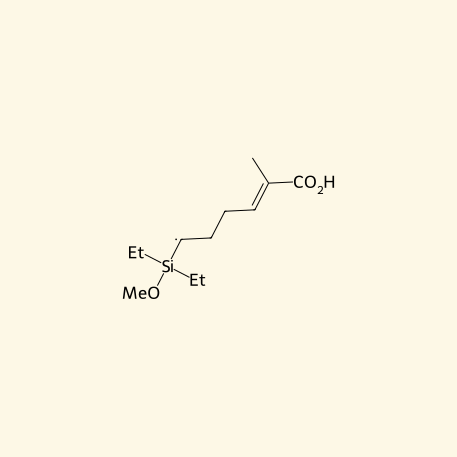 CC[Si]([CH]CCC=C(C)C(=O)O)(CC)OC